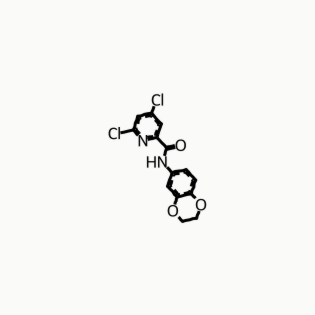 O=C(Nc1ccc2c(c1)OCCO2)c1cc(Cl)cc(Cl)n1